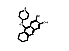 Oc1cc2nc3c(c(NC4CCNCC4)c2cc1O)CCCC3